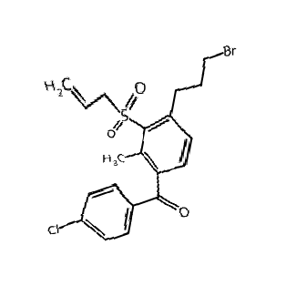 C=CCS(=O)(=O)c1c(CCCBr)ccc(C(=O)c2ccc(Cl)cc2)c1C